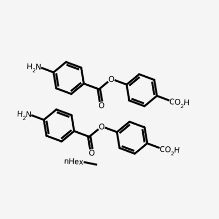 CCCCCCC.Nc1ccc(C(=O)Oc2ccc(C(=O)O)cc2)cc1.Nc1ccc(C(=O)Oc2ccc(C(=O)O)cc2)cc1